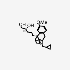 COc1ccc2c(c1)[C@@]1(CCC[C@@H](O)CO)CCN(CC3CC3)C(C2)[C@@H]1C